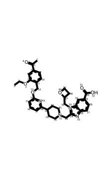 CCOc1cc(C(C)=O)ccc1COc1cccc(C2CCN(Cc3nc4ccc(C(=O)O)cc4n3CC3CCO3)CC2)n1